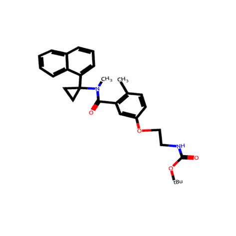 Cc1ccc(OCCNC(=O)OC(C)(C)C)cc1C(=O)N(C)C1(c2cccc3ccccc23)CC1